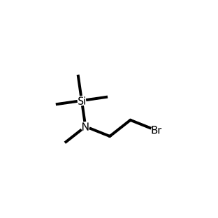 CN(CCBr)[Si](C)(C)C